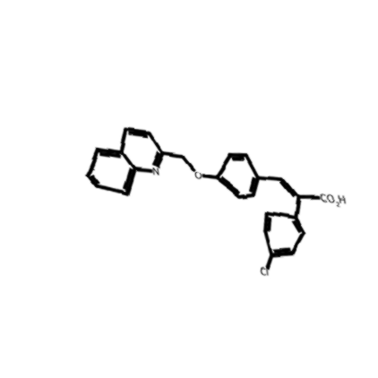 O=C(O)C(=Cc1ccc(OCc2ccc3ccccc3n2)cc1)c1ccc(Cl)cc1